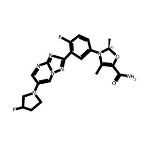 CC1=C(C(N)=O)O[C@H](C)N1c1ccc(F)c(-c2nc3ncc(N4CCC(F)C4)cn3n2)c1